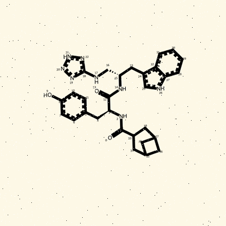 O=C(N[C@@H](Cc1ccc(O)cc1)C(=O)N[C@H](CNc1nn[nH]n1)Cc1c[nH]c2ccccc12)C1CC2CC(C2)C1